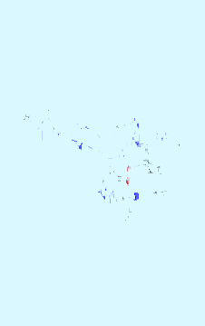 CC(=O)c1c([C@H]2C[C@@H]3C[C@H](C2)N3C(=O)c2nnc[nH]2)nc2c(-c3cnc(NC4CC4)nc3)cnn2c1N